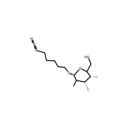 CC1[C@@H](OCCCCCN=[N+]=[N-])OC(CO)[C@H](C)[C@@H]1C